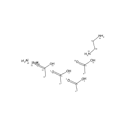 CC(=O)O.CC(=O)O.CC(=O)O.CC(=O)O.NCCN.[AlH3].[MgH2]